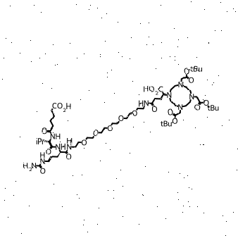 CC(C)[C@@H](NC(=O)CCCCC(=O)O)C(=O)N[C@H](CCCNC(N)=O)C(=O)NCCOCCOCCOCCOCCOCCNC(=O)CCC(C(=O)O)N1CCN(CC(=O)OC(C)(C)C)CCN(CC(=O)OC(C)(C)C)CCN(CC(=O)OC(C)(C)C)CC1